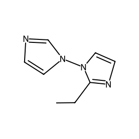 CCc1nccn1-n1ccnc1